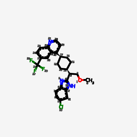 COCC(c1nc2ccc(Cl)cc2[nH]1)[C@H]1CC[C@@H](c2ccnc3ccc(C(F)(F)F)cc32)CC1